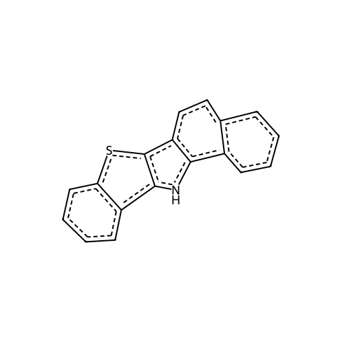 c1ccc2c(c1)ccc1c2[nH]c2c3ccccc3sc12